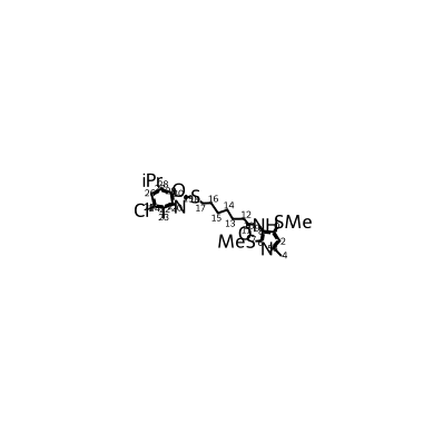 CSc1cc(C)nc(SC)c1NC(=O)CCCCCCSc1nc2c(C)c(Cl)cc(C(C)C)c2o1